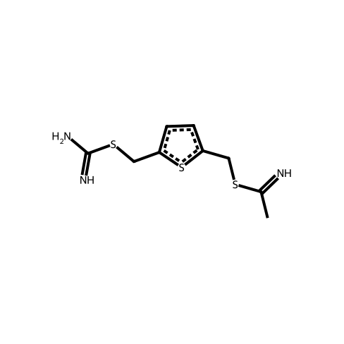 CC(=N)SCc1ccc(CSC(=N)N)s1